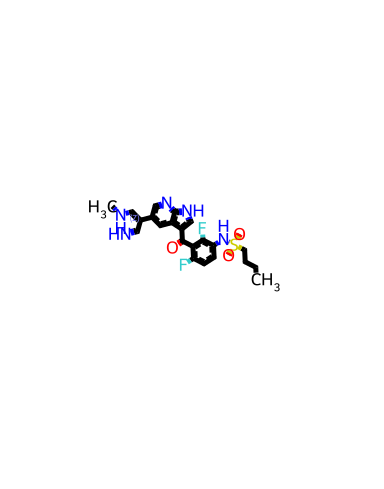 CCCCS(=O)(=O)Nc1ccc(F)c(C(=O)c2c[nH]c3ncc(/C(C=N)=C/NC)cc23)c1F